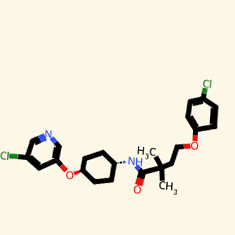 CC(C)(CCOc1ccc(Cl)cc1)C(=O)N[C@H]1CC[C@H](Oc2cncc(Cl)c2)CC1